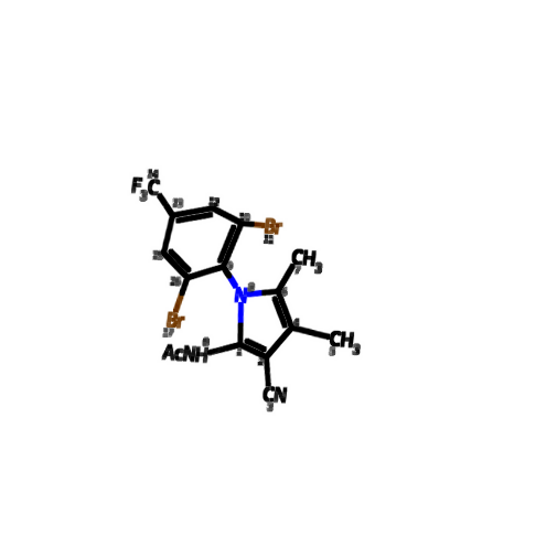 CC(=O)Nc1c(C#N)c(C)c(C)n1-c1c(Br)cc(C(F)(F)F)cc1Br